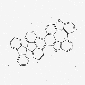 c1ccc2c(c1)-c1ccccc1C21c2cccc3c2c2c1cccc2c1c2oc4cccc5c4c2c2c(ccc4oc6cccc-5c6c42)c31